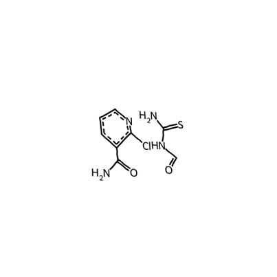 NC(=O)c1cccnc1Cl.NC(=S)NC=O